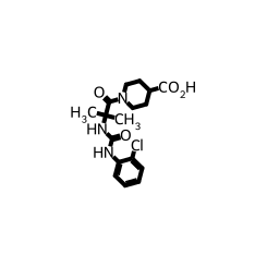 CC(C)(NC(=O)Nc1ccccc1Cl)C(=O)N1CCC(C(=O)O)CC1